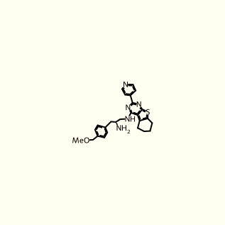 COCc1ccc(C[C@H](N)CNc2nc(-c3ccncc3)nc3sc4c(c23)CCCC4)cc1